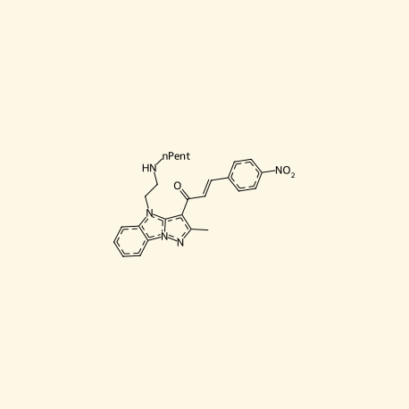 CCCCCNCCn1c2ccccc2n2nc(C)c(C(=O)/C=C/c3ccc([N+](=O)[O-])cc3)c12